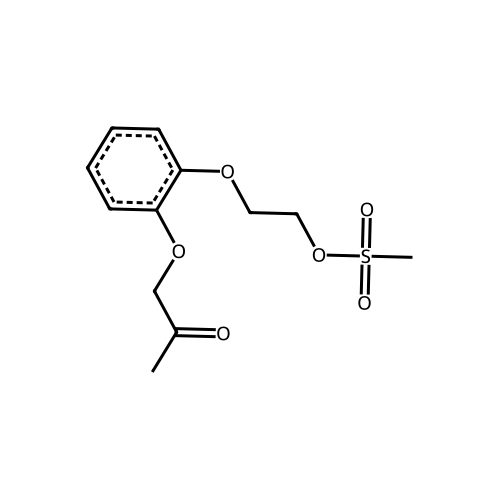 CC(=O)COc1ccccc1OCCOS(C)(=O)=O